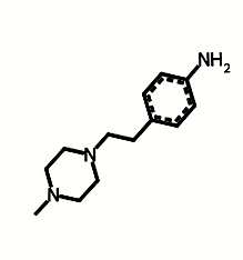 CN1CCN(CCc2ccc(N)cc2)CC1